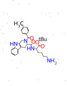 Cc1ccc(C(=O)N2Cc3[nH]c4ccccc4c3CC2C(=O)NC(CCCCN)C(=O)OC(C)(C)C)cc1